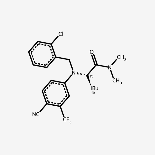 CC[C@H](C)[C@@H](C(=O)N(C)C)N(Cc1ccccc1Cl)c1ccc(C#N)c(C(F)(F)F)c1